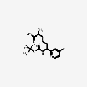 CC(CCCC(NC(=O)OC(C)(C)C)c1cc(Cl)ccn1)C(=O)O